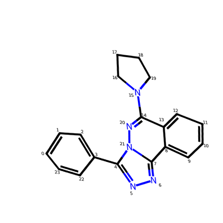 c1ccc(-c2nnc3c4ccccc4c(N4CCCC4)nn23)cc1